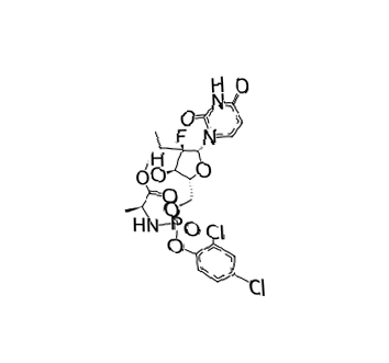 CC[C@@]1(F)[C@H](O)[C@@H](COP(=O)(N[C@@H](C)C(=O)OC)Oc2ccc(Cl)cc2Cl)O[C@H]1n1ccc(=O)[nH]c1=O